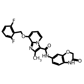 Cc1nc2c(OCc3c(F)cccc3F)cccn2c1C(=O)Nc1ccc2c(c1)OCC(=O)N2